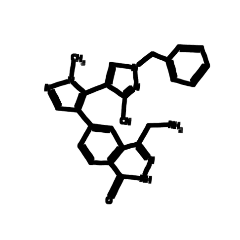 Cn1ncc(-c2ccc3c(=O)[nH]nc(CN)c3c2)c1-c1cn(Cc2ccccc2)nc1C#N